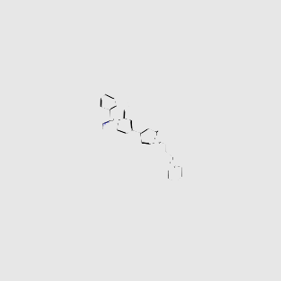 CC=C1C=C(c2ccn(CCCN3CCOCC3)c(=O)c2)C=CN1/C(=C\C)c1ccccc1